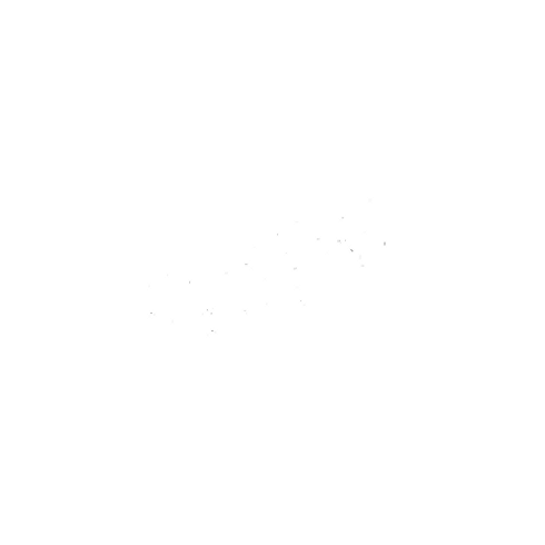 C[C@]12Cc3cnn(-c4ccc(F)nc4)c3C=C1CC[C@@H]1C2[C@@H](O)C[C@@]2(C)C1CC[C@]2(O)C(=O)O